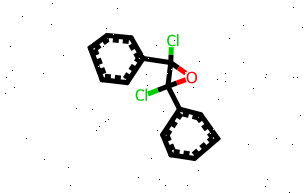 ClC1(c2ccccc2)OC1(Cl)c1ccccc1